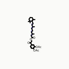 CC(=O)Oc1ccc(C(=O)COC(=O)/C=C(C)/C=C/C=C(C)/C=C/C2=C(C)CCCC2(C)C)cc1OC(C)=O